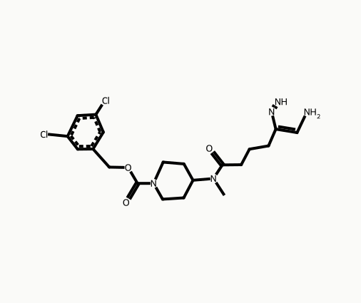 CN(C(=O)CCC/C(=C/N)N=N)C1CCN(C(=O)OCc2cc(Cl)cc(Cl)c2)CC1